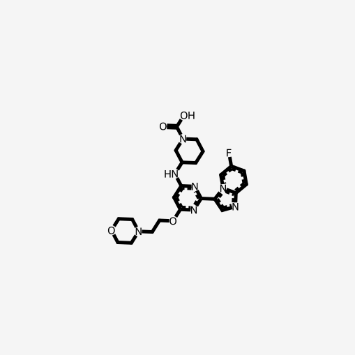 O=C(O)N1CCCC(Nc2cc(OCCN3CCOCC3)nc(-c3cnc4ccc(F)cn34)n2)C1